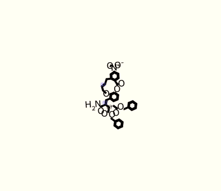 NC(=O)/C(=C/c1cccc2c1OC/C=C/Cc1cc([N+](=O)[O-])ccc1C(=O)O2)[C@H](CC(=O)OCc1ccccc1)C(=O)OCc1ccccc1